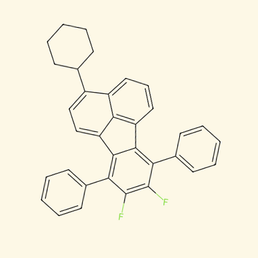 Fc1c(F)c(-c2ccccc2)c2c(c1-c1ccccc1)-c1cccc3c(C4CCCCC4)ccc-2c13